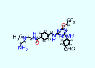 CN(CCN)CCNC(=O)c1ccc(CNc2nc(Nc3ccc(C=O)cc3)nc(OCC(F)(F)F)n2)cc1